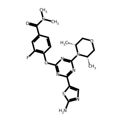 C[C@@H]1COC[C@H](C)N1c1nc(Oc2ccc(C(=O)N(C)C)cc2F)nc(-c2cnc(N)s2)n1